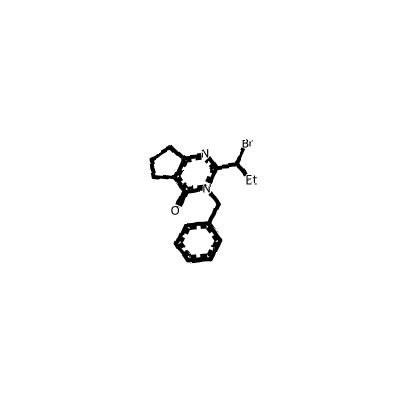 CCC(Br)c1nc2c(c(=O)n1Cc1ccccc1)CCC2